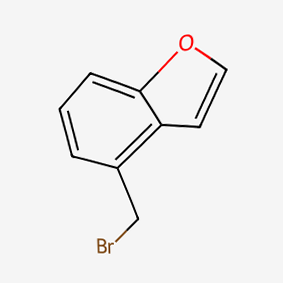 BrCc1cccc2occc12